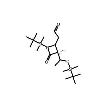 CC(O[Si](C)(C)C(C)(C)C)[C@@]1(C)C(=O)N([Si](C)(C)C(C)(C)C)C1CC=O